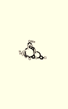 CO[C@H]1CO[C@H]([C@@H]2CCC[C@H](C)[C@@H](C)S(=O)(=O)NC(=O)c3ccc4c(c3)N(CCCCc3cc(Cl)ccc3CO4)C[C@@H]3CC[C@H]32)OC1